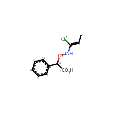 CC=C(Cl)NOC(C(=O)O)c1ccccc1